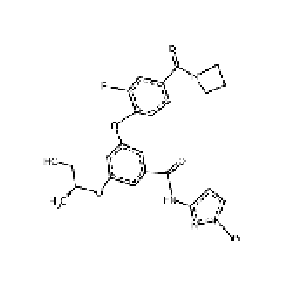 CC(C)n1ccc(NC(=O)c2cc(Oc3ccc(C(=O)N4CCC4)cc3F)cc(O[C@@H](C)CO)c2)n1